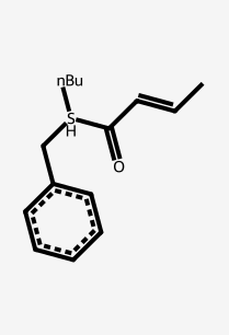 CC=CC(=O)[SH](CCCC)Cc1ccccc1